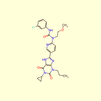 CCCn1c(=O)n(C2CC2)c(=O)c2[nH]c(-c3ccc(N(CCOC)C(=O)Nc4cccc(F)c4)nc3)nc21